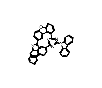 C1=CC2N=C(c3ccc4oc5cccc(-c6nc(-c7ccc(-c8ccccc8)cc7)nc(-n7c8ccccc8c8ccccc87)n6)c5c4c3)SC2C=C1